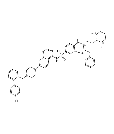 C[C@@H]1CCC[C@H](C)N1CC[C@H](CSc1ccccc1)Nc1ccc(S(=O)(=O)Nc2ncnc3cc(N4CCN(Cc5ccccc5-c5ccc(Cl)cc5)CC4)ccc23)cc1[N+](=O)[O-]